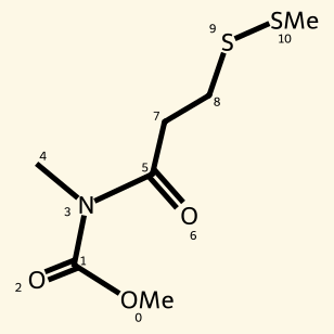 COC(=O)N(C)C(=O)CCSSC